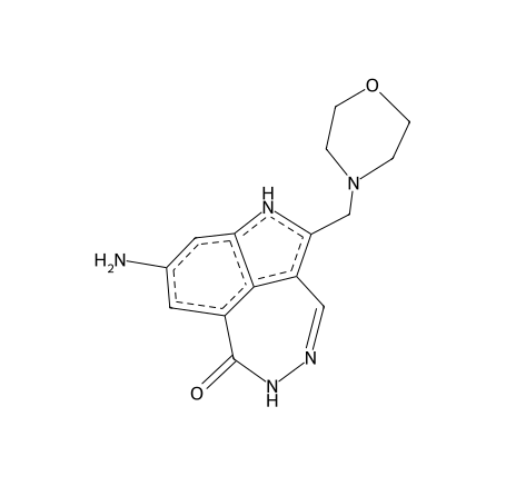 Nc1cc2c3c(c(CN4CCOCC4)[nH]c3c1)C=NNC2=O